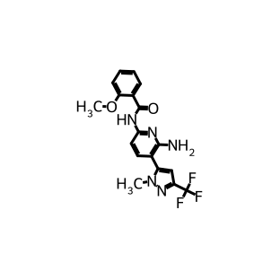 COc1ccccc1C(=O)Nc1ccc(-c2cc(C(F)(F)F)nn2C)c(N)n1